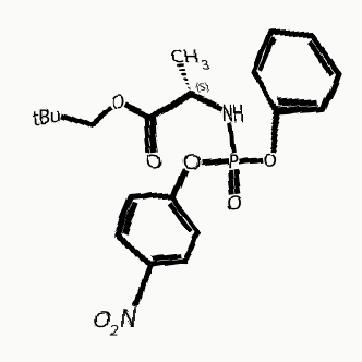 C[C@H](NP(=O)(Oc1ccccc1)Oc1ccc([N+](=O)[O-])cc1)C(=O)OCC(C)(C)C